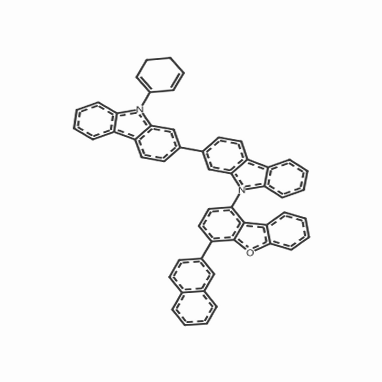 C1=CC(n2c3ccccc3c3ccc(-c4ccc5c6ccccc6n(-c6ccc(-c7ccc8ccccc8c7)c7oc8ccccc8c67)c5c4)cc32)=CCC1